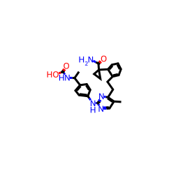 Cc1cnc(Nc2ccc(C(C)NC(=O)O)cc2)nc1CCc1ccccc1C1(C(N)=O)CC1